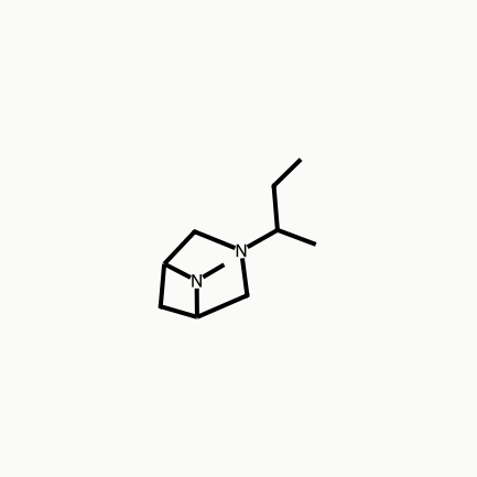 CCC(C)N1CC2CC(C1)N2C